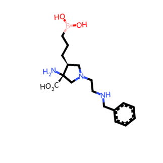 N[C@@]1(C(=O)O)CN(CCNCc2ccccc2)C[C@@H]1CCCB(O)O